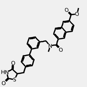 COC(=O)c1ccc2cc(C(=O)N(C)Cc3cccc(-c4ccc(CC5SC(=O)NC5=O)cc4)c3)ccc2c1